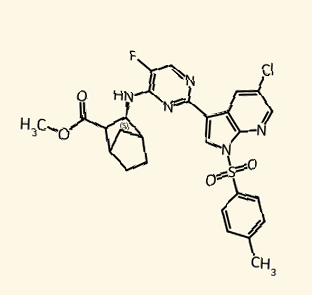 COC(=O)C1C2CCC(C2)[C@@H]1Nc1nc(-c2cn(S(=O)(=O)c3ccc(C)cc3)c3ncc(Cl)cc23)ncc1F